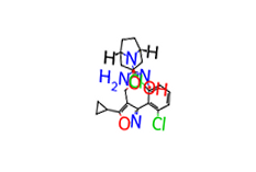 N/C(=N\O)N1[C@@H]2CC[C@H]1CC(OCc1c(-c3c(Cl)cccc3Cl)noc1C1CC1)C2